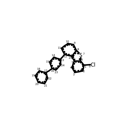 Clc1cccc2c1sc1cccc(-c3ccc(-c4ccccc4)cc3)c12